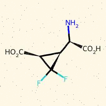 N[C@@H](C(=O)O)[C@@H]1[C@H](C(=O)O)C1(F)F